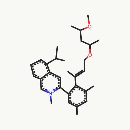 COC(C)CC(C)OC/C=C(\C)c1c(C)cc(C)cc1-c1cc2c(C(C)C)cccc2c[n+]1C